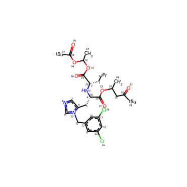 CC(C)C[C@H](N[C@@H](Cc1cncn1Cc1cc(Cl)cc(Cl)c1)C(=O)OC(C)CC(=O)C(C)(C)C)C(=O)OC(C)OC(=O)C(C)(C)C